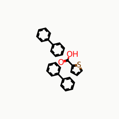 O=C(O)c1cccs1.c1ccc(-c2ccccc2)cc1.c1ccc(-c2ccccc2)cc1